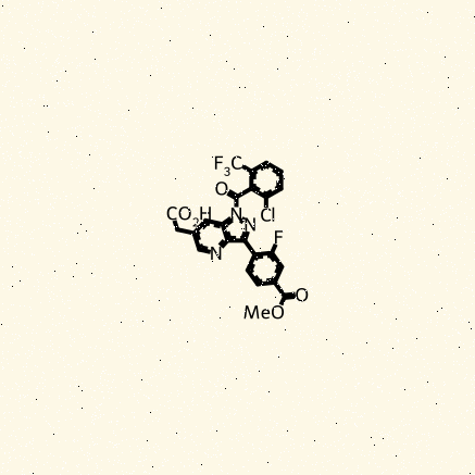 COC(=O)c1ccc(-c2nn(C(=O)c3c(Cl)cccc3C(F)(F)F)c3cc(CC(=O)O)cnc23)c(F)c1